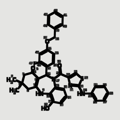 CC1(C)CC(=O)C2=C(C1)Nc1c(O)cccc1N(C(=O)c1csc(Nc3ccccc3)n1)C2c1ccc(OCc2ccccc2)cc1F